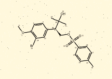 COc1ccc([C@H](COS(=O)(=O)c2ccc(C)cc2)C(C)(C)O)cc1Br